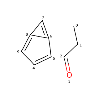 CCC=O.c1cc2cc-2c1